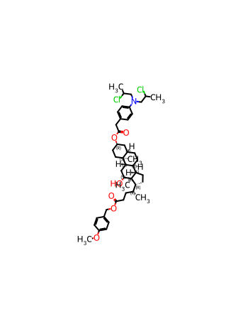 COc1ccc(COC(=O)CC[C@@H](C)[C@H]2CC[C@H]3[C@@H]4CC[C@@H]5C[C@H](OC(=O)Cc6ccc(N(CC(C)Cl)CC(C)Cl)cc6)CC[C@]5(C)[C@H]4C[C@H](O)[C@]23C)cc1